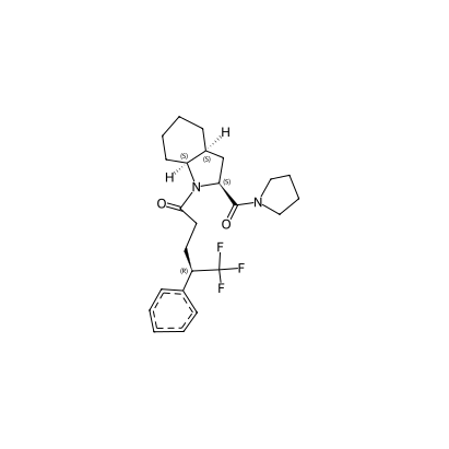 O=C([C@@H]1C[C@@H]2CCCC[C@@H]2N1C(=O)CC[C@H](c1ccccc1)C(F)(F)F)N1CCCC1